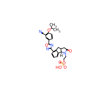 CC(C)Oc1ccc(-c2nc(-c3cccc4c3CC3CC(=O)N(CCOS(=O)(=O)O)[C@H]43)no2)cc1C#N